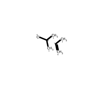 C=CC.CC(C)Cl